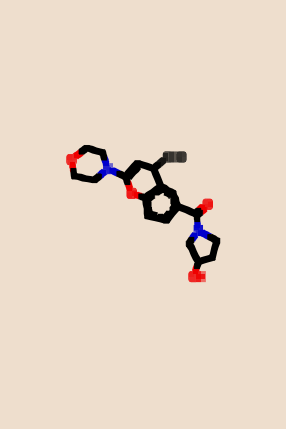 O=CC1C=C(N2CCOCC2)Oc2ccc(C(=O)N3CCC(O)C3)cc21